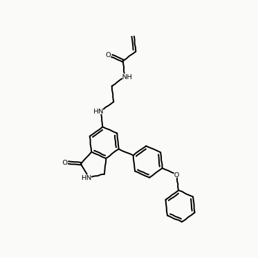 C=CC(=O)NCCNc1cc2c(c(-c3ccc(Oc4ccccc4)cc3)c1)CNC2=O